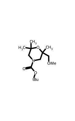 COCC1(C)CN(C(=O)OC(C)(C)C)CC(C)(C)O1